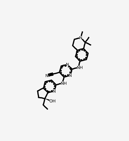 CC[C@]1(O)CCc2ccc(Nc3nc(Nc4ccc5c(c4)CCN(C)C5(C)C)ncc3C#N)nc21